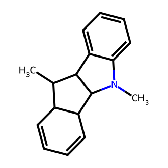 CC1C2C=CC=CC2C2C1c1ccccc1N2C